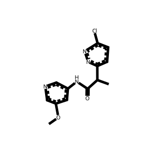 COc1cncc(NC(=O)C(C)c2ccc(Cl)nn2)c1